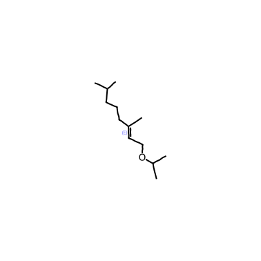 C/C(=C\COC(C)C)CCCC(C)C